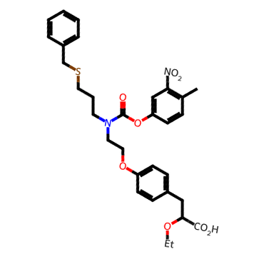 CCOC(Cc1ccc(OCCN(CCCSCc2ccccc2)C(=O)Oc2ccc(C)c([N+](=O)[O-])c2)cc1)C(=O)O